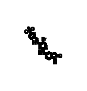 CS(=O)(=O)c1ccc(CNc2nc(Nc3ccc4c(c3)CC(=O)N4)ncc2Br)s1